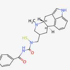 CN1CC(CN(S)C(=O)NC(=O)c2ccccc2)C[C@@H]2c3cccc4[nH]cc(c34)C[C@H]21